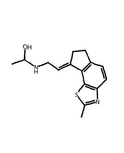 Cc1nc2ccc3c(c2s1)/C(=C/CNC(C)O)CC3